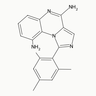 Cc1cc(C)c(-c2ncc3c(N)nc4cccc(N)c4n23)c(C)c1